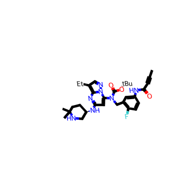 CC#CC(=O)Nc1ccc(F)c(CN(C(=O)OC(C)(C)C)c2cc(N[C@H]3CCC(C)(C)NC3)nc3c(CC)cnn23)c1